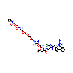 CCCCc1nc(Cl)c(CNC(=O)C(CC(C)C)NC(=O)COCC(=O)NCCOCCOCCOCCNC(=O)COCC(=O)NCC)n1Cc1ccc(-c2ccccc2-c2nn[nH]n2)cc1